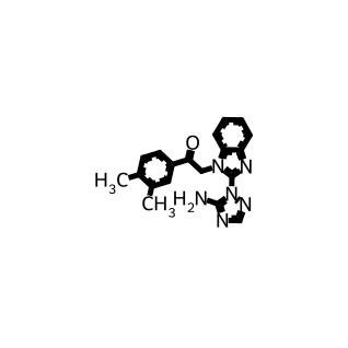 Cc1ccc(C(=O)Cn2c(-n3ncnc3N)nc3ccccc32)cc1C